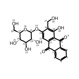 O=C1c2ccccc2C(=O)c2c1cc(O[C@@H]1O[C@H](CO)[C@@H](O)[C@H](O)[C@H]1O)c(CO)c2O